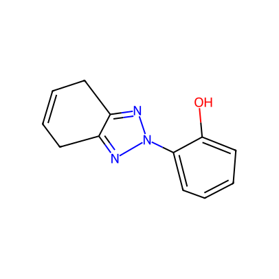 Oc1ccccc1-n1nc2c(n1)CC=CC2